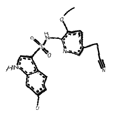 COc1cc(CC#N)cnc1NS(=O)(=O)c1c[nH]c2cc(Cl)ccc12